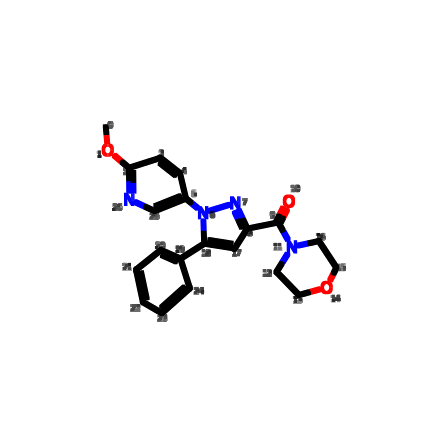 COc1ccc(-n2nc(C(=O)N3CCOCC3)cc2-c2ccccc2)cn1